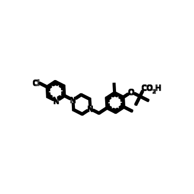 Cc1cc(CN2CCN(c3ccc(Cl)cn3)CC2)cc(C)c1OC(C)(C)C(=O)O